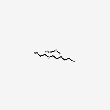 CCCCCOCC.OCCOCCOCCO